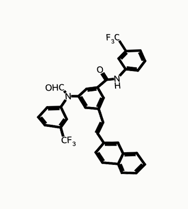 O=CN(c1cc(C=Cc2ccc3ccccc3c2)cc(C(=O)Nc2cccc(C(F)(F)F)c2)c1)c1cccc(C(F)(F)F)c1